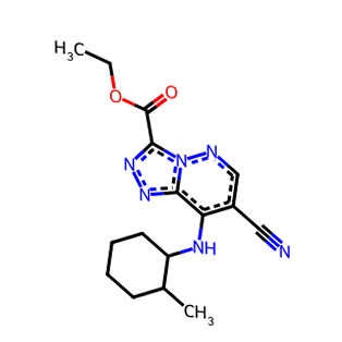 CCOC(=O)c1nnc2c(NC3CCCCC3C)c(C#N)cnn12